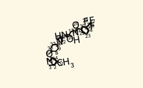 Cc1ccnc(OC2CCC(N3CC(NC(=O)CNC(=O)c4cccc(C(F)(F)F)c4)C3)CC2)c1